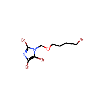 BrCCCCOCn1c(Br)nc(Br)c1Br